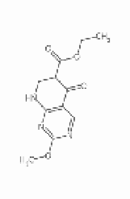 CCOC(=O)C1CNc2nc(OC)ncc2C1=O